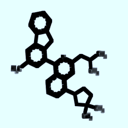 Cc1cc2c(c(-c3nc(CC(C)C)cc4c(C5CCC(C)(C)C5)cccc34)c1)Cc1ccccc1-2